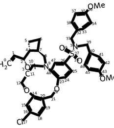 C=C[C@@H](O)[C@@H]1CC[C@H]1CN1CCCOc2cc(Cl)ccc2COc2ccc(S(=O)(=O)N(Cc3ccc(OC)cc3)Cc3ccc(OC)cc3)cc21